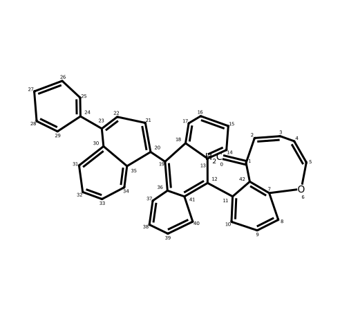 C=C1/C=C\C=C/Oc2cccc(-c3c4ccccc4c(-c4ccc(-c5ccccc5)c5ccccc45)c4ccccc34)c21